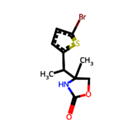 CC(c1ccc(Br)s1)C1(C)COC(=O)N1